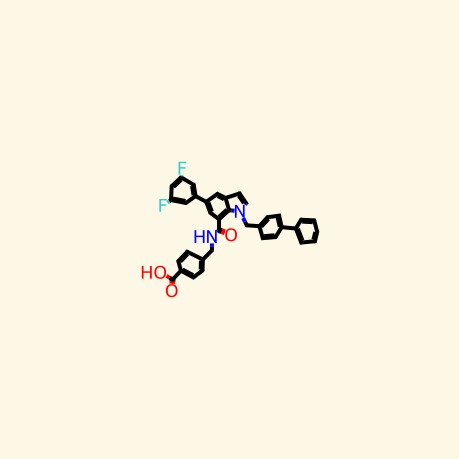 O=C(O)c1ccc(CNC(=O)c2cc(-c3cc(F)cc(F)c3)cc3ccn(Cc4ccc(-c5ccccc5)cc4)c23)cc1